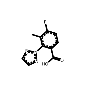 Cc1c(F)ccc(C(=O)O)c1-n1nccn1